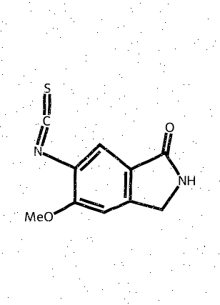 COc1cc2c(cc1N=C=S)C(=O)NC2